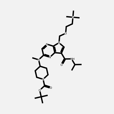 CC(C)NC(=O)c1cn(COCCS(C)(C)C)c2ncc(N(C)C3CCN(C(=O)OC(C)(C)C)CC3)nc12